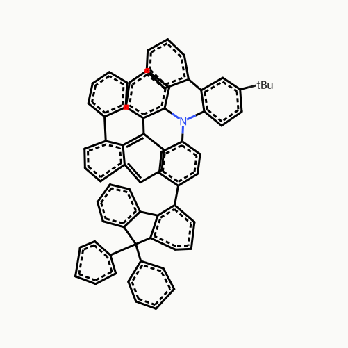 CC(C)(C)c1ccc(N(c2ccc(-c3cccc4c3-c3ccccc3C4(c3ccccc3)c3ccccc3)cc2)c2ccccc2C2=c3c(-c4ccccc4)cccc3=CCC2)c(-c2ccccc2)c1